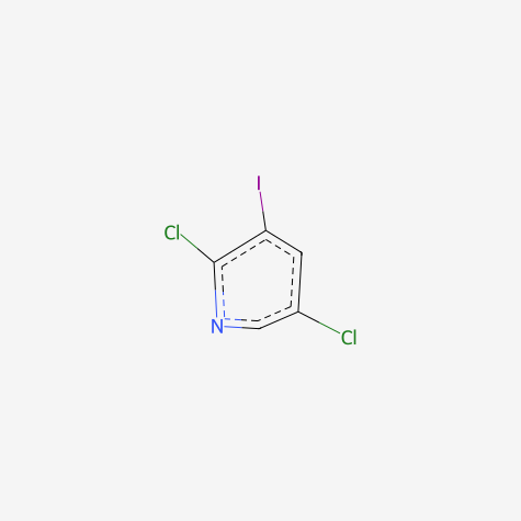 Clc1cnc(Cl)c(I)c1